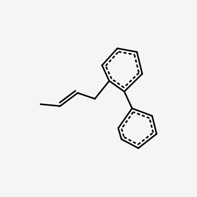 CC=CCc1ccccc1-c1ccccc1